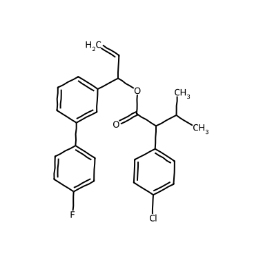 C=CC(OC(=O)C(c1ccc(Cl)cc1)C(C)C)c1cccc(-c2ccc(F)cc2)c1